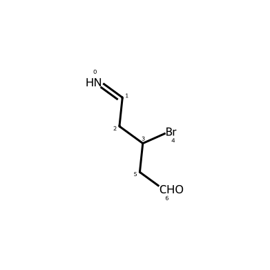 N=CCC(Br)CC=O